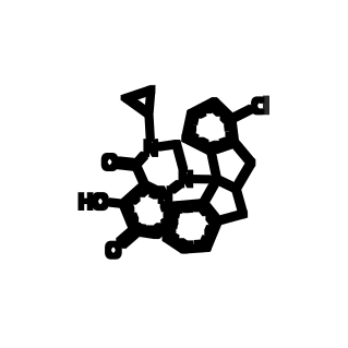 O=C1c2c(O)c(=O)ccn2N(C23c4ccccc4CC2Cc2c(Cl)cccc23)CN1C1CC1